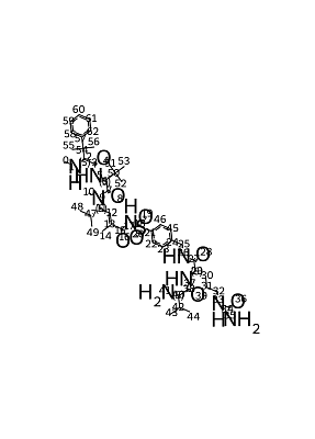 CN[C@H](C(=O)N[C@H](C(=O)N(C)[C@H](C=C(C)C(=O)NS(=O)(=O)c1ccc(CNC(=O)[C@H](CCCNC(N)=O)NC(=O)[C@@H](N)C(C)C)cc1)C(C)C)C(C)(C)C)C(C)(C)c1ccccc1